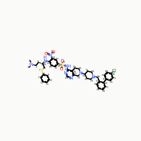 CN(C)CC[C@H](CSc1ccccc1)Nc1ccc(S(=O)(=O)Nc2ncnc3c2CCN(C2CCN(Cc4ccccc4-c4ccc(Cl)cc4)CC2)C3)cc1[N+](=O)[O-]